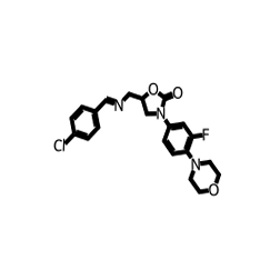 O=C1OC(C/N=C/c2ccc(Cl)cc2)CN1c1ccc(N2CCOCC2)c(F)c1